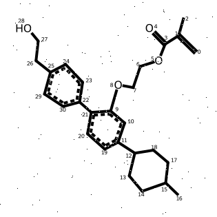 C=C(C)C(=O)OCCOc1cc(C2CCC(C)CC2)ccc1-c1ccc(CCO)cc1